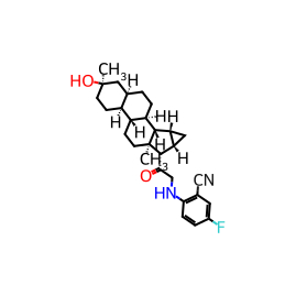 C[C@@]1(O)CC[C@H]2[C@H](CC[C@@H]3[C@@H]2CC[C@@]2(C)[C@H]3[C@@H]3C[C@@H]3[C@@H]2C(=O)CNc2ccc(F)cc2C#N)C1